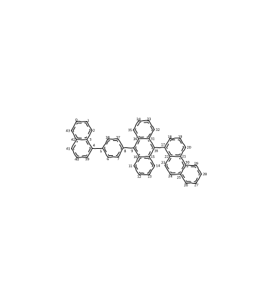 c1ccc2c(-c3ccc(-c4c5ccccc5c(-c5cccc6c5ccc5ccccc56)c5ccccc45)cc3)cccc2c1